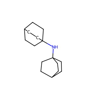 C1CC2(NC34CCC(CC3)CC4)CCC1CC2